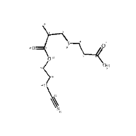 CC(CSCCC(=O)O)C(=O)OCCOC#N